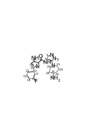 Cn1ncc(NC(=O)c2nc(-c3cccc(F)c3)sc2N)c1N1CCCC(N)CC1